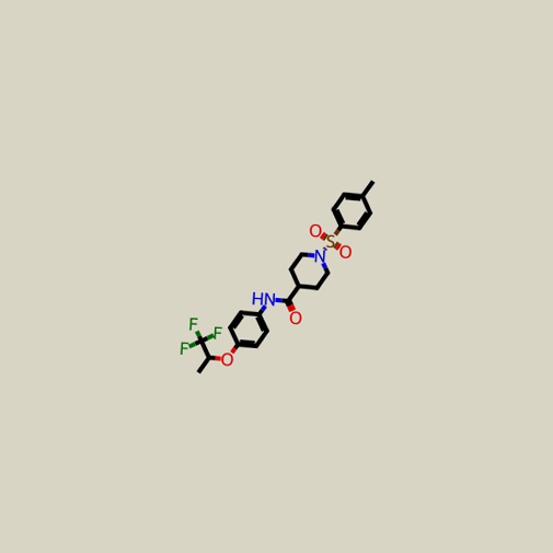 Cc1ccc(S(=O)(=O)N2CCC(C(=O)Nc3ccc(OC(C)C(F)(F)F)cc3)CC2)cc1